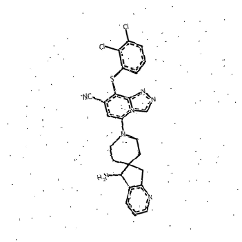 N#Cc1cc(N2CCC3(CC2)Cc2ncccc2C3N)n2cnnc2c1Sc1cccc(Cl)c1Cl